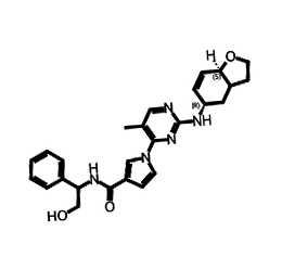 Cc1cnc(N[C@H]2C=C[C@H]3OCCC3C2)nc1-n1ccc(C(=O)NC(CO)c2ccccc2)c1